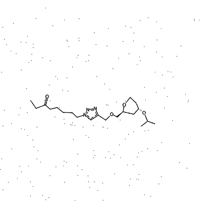 CCC(=O)CCCCCn1cc(COC[C@@H]2C[C@@H](OC(C)C)CCO2)nn1